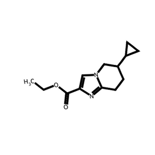 CCOC(=O)c1cn2c(n1)CCC(C1CC1)C2